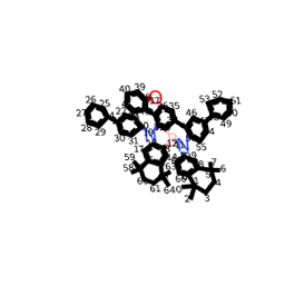 CC1(C)CCC(C)(C)c2cc(N3B4c5cc6c(cc5N(c5ccc(-c7ccccc7)cc5)c5c4c(cc4oc7ccccc7c54)-c4cc(-c5ccccc5)ccc43)C(C)(C)CCC6(C)C)ccc21